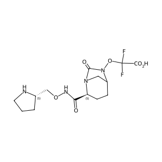 O=C(NOC[C@@H]1CCCN1)[C@@H]1CCC2CN1C(=O)N2OC(F)(F)C(=O)O